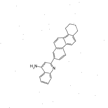 Nc1cc(-c2ccc3c(ccc4c5c(ccc43)CCCC5)c2)nc2ccccc12